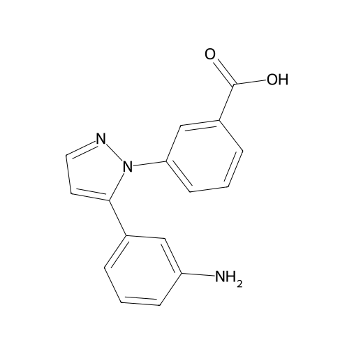 Nc1cccc(-c2ccnn2-c2cccc(C(=O)O)c2)c1